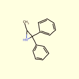 CC1NC1(c1ccccc1)c1ccccc1